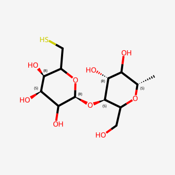 C[C@@H]1OC(CO)[C@@H](O[C@@H]2OC(CS)[C@H](O)[C@H](O)C2O)[C@H](O)C1O